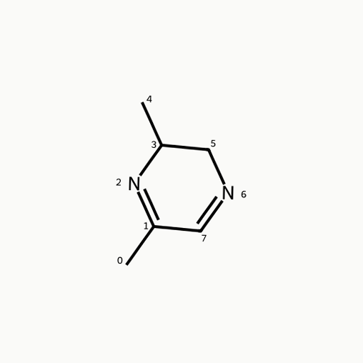 CC1=NC(C)CN=C1